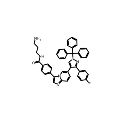 NCCCNC(=O)c1ccc(-c2cnc3ccc(-c4cn(C(c5ccccc5)(c5ccccc5)c5ccccc5)nc4-c4ccc(F)cc4)cn23)cc1